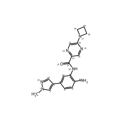 Cn1cc(-c2ccc(N)c(NC(=O)c3cnc(N4CCC4)cn3)c2)cn1